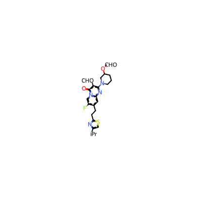 CC(C)c1csc(CCc2cc3nc(N4CCCC(OC=O)C4)c(C=O)c(=O)n3cc2F)n1